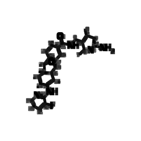 Cc1cc(N)nc(C)c1CNC(=O)c1ccc2c(c1)C1OC2c2ccc(Nc3ncccc3F)cc21